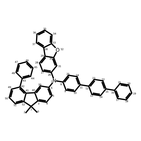 CC1(C)c2ccc(N(c3ccc(-c4ccc(-c5ccccc5)cc4)cc3)c3ccc4c(c3)oc3ccccc34)cc2-c2c(-c3ccccc3)cccc21